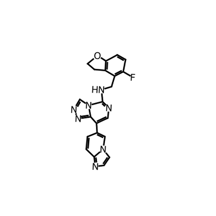 Fc1ccc2c(c1CNc1ncc(-c3ccc4nccn4c3)c3nncn13)CCO2